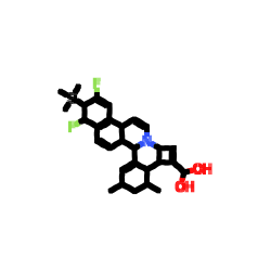 CC1C=C2C(C(C)C1)C1C(C(O)O)=CC1N1C=CC3C4=C(C=CC3C21)C(F)C([Si](C)(C)C)C(F)=C4